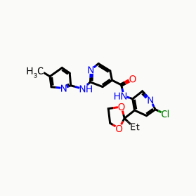 CCC1(c2cc(Cl)ncc2NC(=O)c2ccnc(Nc3ccc(C)cn3)c2)OCCO1